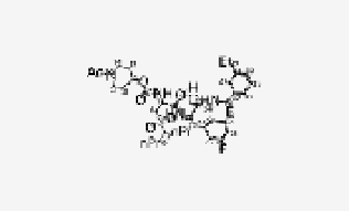 CCCC(CCC)S(=O)(=O)CC(NC(=O)OC1CCN(C(C)=O)CC1)C(=O)N[C@@H](Cc1cc(F)cc(F)c1)[C@H](O)CNCc1cccc(CC)c1